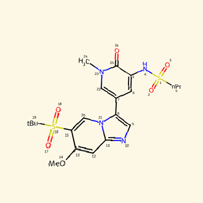 CCCS(=O)(=O)Nc1cc(-c2cnc3cc(OC)c(S(=O)(=O)C(C)(C)C)cn23)cn(C)c1=O